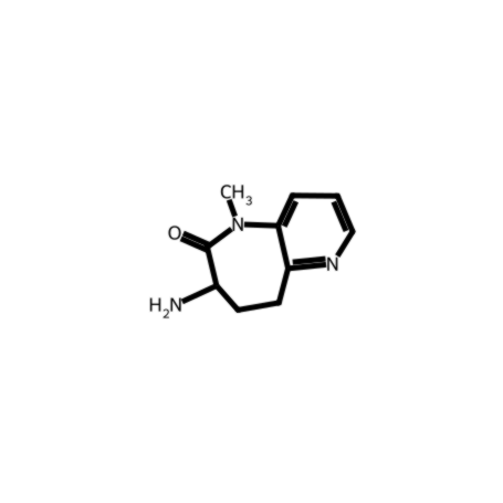 CN1C(=O)C(N)CCc2ncccc21